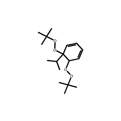 CC(C)C1(OOC(C)(C)C)C=CC=CC1OOC(C)(C)C